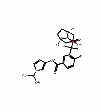 CC(C)n1cc(NC(=O)c2ccc(F)c(C(F)(F)C(=O)N3[C@@H]4CC[C@H]3C[C@@H](O)C4)c2)cn1